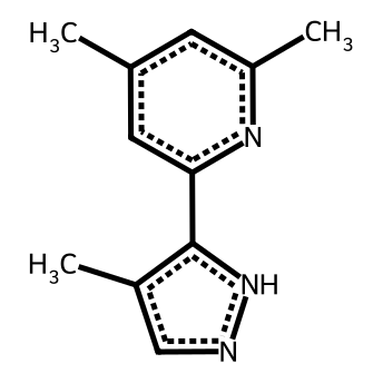 Cc1cc(C)nc(-c2[nH]ncc2C)c1